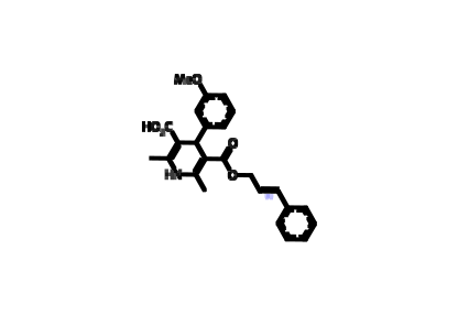 COc1cccc(C2C(C(=O)O)=C(C)NC(C)=C2C(=O)OC/C=C/c2ccccc2)c1